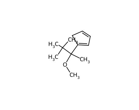 COC(C)(C1=CC=CC1)C(C)(C)C